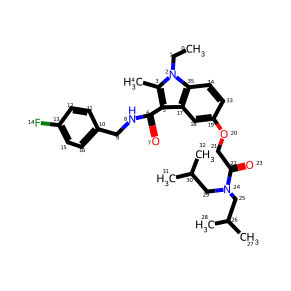 CCn1c(C)c(C(=O)NCc2ccc(F)cc2)c2cc(OCC(=O)N(CC(C)C)CC(C)C)ccc21